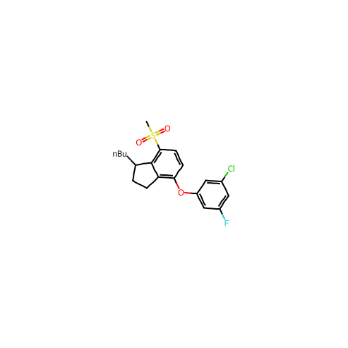 CCCCC1CCc2c(Oc3cc(F)cc(Cl)c3)ccc(S(C)(=O)=O)c21